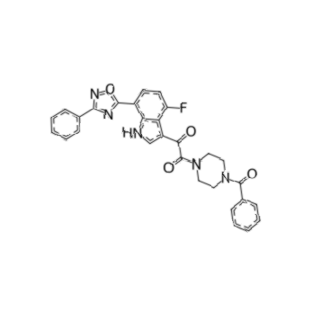 O=C(C(=O)N1CCN(C(=O)c2ccccc2)CC1)c1c[nH]c2c(-c3nc(-c4ccccc4)no3)ccc(F)c12